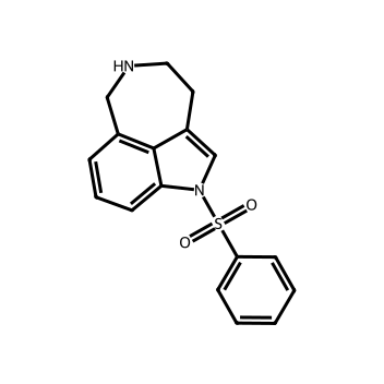 O=S(=O)(c1ccccc1)n1cc2c3c(cccc31)CNCC2